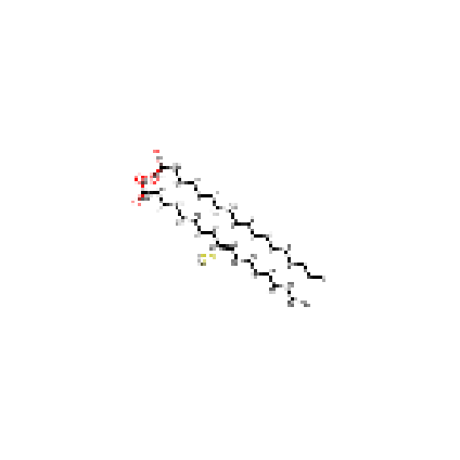 CCCCCCCCC=CCCCCCCCC(=O)[O-].CCCCCCCCC=CCCCCCCCC(=O)[O-].[S+2]